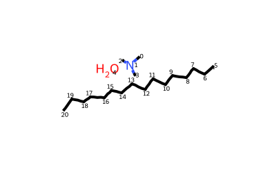 CN(C)C.O.[CH2]CCCCCCCCCCCCCCC